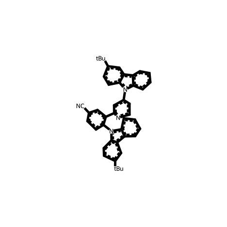 CC(C)(C)c1ccc2c(c1)c1ccccc1n2-c1ccnc(-c2cc(C#N)ccc2-n2c3ccccc3c3cc(C(C)(C)C)ccc32)c1